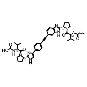 COC(=O)N[C@H](C(=O)N1CCC[C@H]1c1nc2ccc(C#Cc3ccc(-c4c[nH]c([C@@H]5CCCN5C(=O)[C@@H](NC(=O)O)C(C)C)n4)cc3)cc2[nH]1)C(C)C